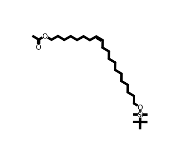 CC(=O)OCCCCCCC/C=C\CCCCCCCCCCCO[Si](C)(C)C(C)(C)C